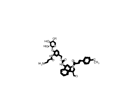 COc1ccc(/C=C/C(=O)N2CC(CCl)c3c2cc(NC(=O)OCc2ccc(O[C@@H]4OC[C@@H](O)[C@H](O)[C@H]4O)c(NC(=O)CCN)c2)c2ccccc32)cc1